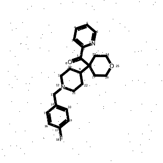 O=C(c1ccccn1)C1(C2CCN(Cc3ccc(F)cc3)CC2)CCOCC1